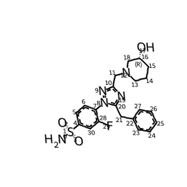 NS(=O)(=O)c1ccc(-n2nc(CN3CCC[C@@H](O)C3)nc2Cc2ccccc2)c(F)c1